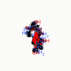 CCCC[C@@H](C(=O)N1C[C@H](O)C[C@@H]1C(O)N[C@@H](CC(=O)O)C(=O)N[C@H](C(=O)N(C)C(Cc1ccccc1)C(=O)N[C@@H](CCN)C(=O)N1CC[C@@H](O)C1)C(C)C)N(C)C(=O)C(Cc1ccccc1)N(C)C(=O)[C@H](Cc1ccc(F)c(F)c1)NC(=O)CSC[C@H](NC(=O)[C@H](CC(C)C)NC(=O)[C@H](Cc1ccc(O)cc1)NC(=O)[C@H](Cc1c[nH]c2ccccc12)NC=O)C(=O)NCC(N)=O